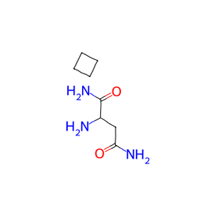 C1CCC1.NC(=O)CC(N)C(N)=O